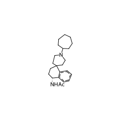 CC(=O)N[C@@H]1CCC2(CCN(C3CCCCCC3)CC2)c2ccccc21